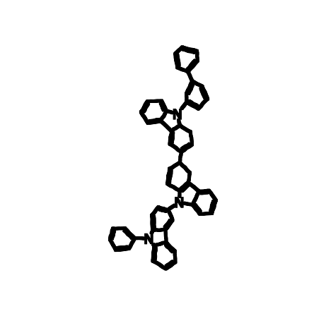 C1=CC(C2=CCC3C(=C2)c2ccccc2N3c2cccc(-c3ccccc3)c2)Cc2c1n(-c1ccc3c(c1)c1ccccc1n3-c1ccccc1)c1ccccc21